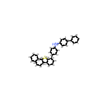 c1ccc(-c2ccc(Nc3ccc(-c4cccc5c4sc4c6ccccc6ccc54)cc3)cc2)cc1